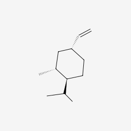 C=C[C@@H]1CC[C@@H](C(C)C)[C@H](C)C1